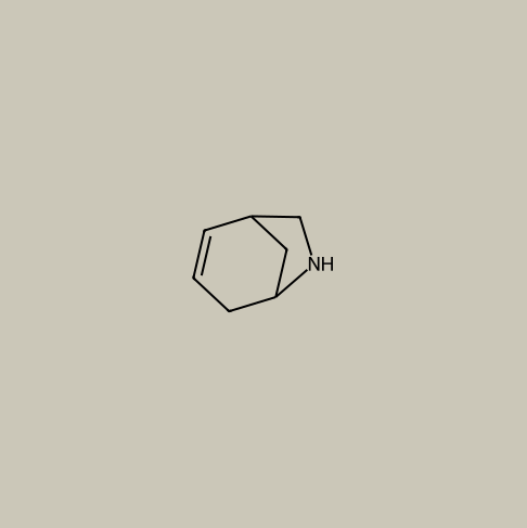 C1=CC2CNC(C1)C2